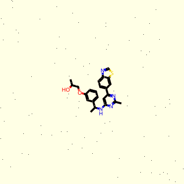 Cc1nc(NC(C)c2cccc(OCC(C)O)c2)cc(-c2ccc3ncsc3c2)n1